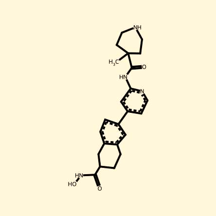 CC1(C(=O)Nc2cc(-c3ccc4c(c3)CCC(C(=O)NO)C4)ccn2)CCNCC1